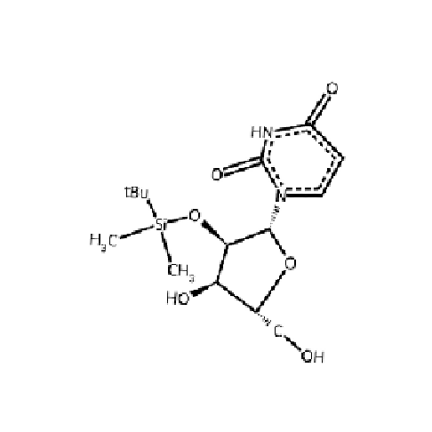 CC(C)(C)[Si](C)(C)O[C@@H]1[C@H](O)[C@@H](CO)O[C@H]1n1ccc(=O)[nH]c1=O